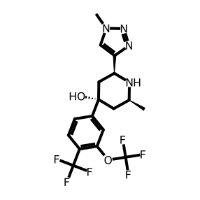 C[C@H]1C[C@@](O)(c2ccc(C(F)(F)F)c(OC(F)(F)F)c2)C[C@@H](c2cn(C)nn2)N1